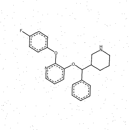 Fc1ccc(Oc2ncccc2OC(c2ccccc2)C2CCCNC2)cc1